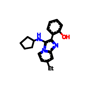 CCc1ccn2c(NC3CCCC3)c(-c3ccccc3O)nc2c1